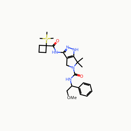 COCC(NC(=O)N1Cc2c(NC(=O)C3(S(C)(C)C)CCC3)n[nH]c2C1(C)C)c1ccccc1